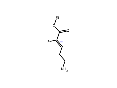 CCOC(=O)/C(F)=C/CCN